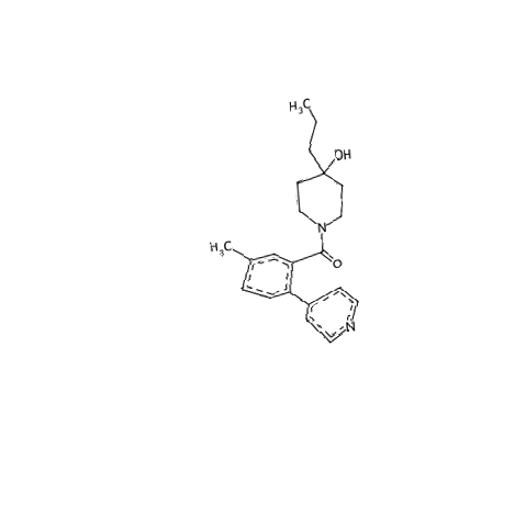 CCCC1(O)CCN(C(=O)c2cc(C)ccc2-c2ccncc2)CC1